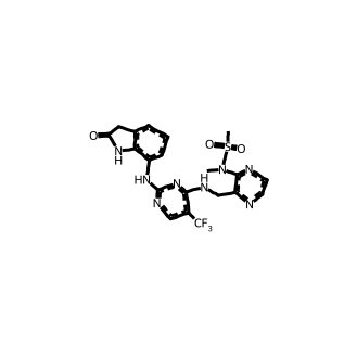 CN(c1nccnc1CNc1nc(Nc2cccc3c2NC(=O)C3)ncc1C(F)(F)F)S(C)(=O)=O